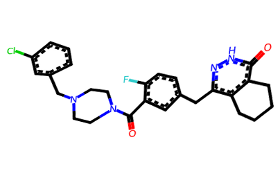 O=C(c1cc(Cc2n[nH]c(=O)c3c2CCCC3)ccc1F)N1CCN(Cc2cccc(Cl)c2)CC1